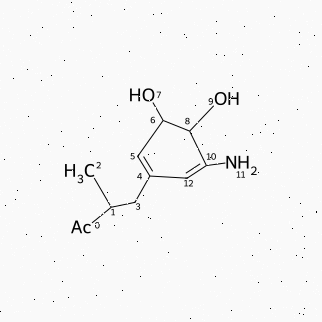 CC(=O)C(C)CC1=CC(O)C(O)C(N)=C1